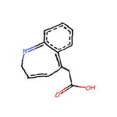 O=C(O)CC1=c2ccccc2=NCC=C1